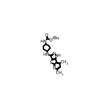 Cc1cc(C)c2c(n1)sc1c(NC3CCC(NC(=O)OC(C)(C)C)CC3)n[nH]c12